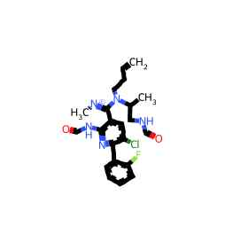 C=CCCN(/C(=N/C)c1cc(Cl)c(-c2ccccc2F)nc1NC=O)C(C)CNC=O